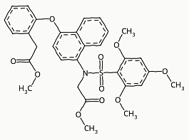 COC(=O)Cc1ccccc1Oc1ccc(N(CC(=O)OC)S(=O)(=O)c2c(OC)cc(OC)cc2OC)c2ccccc12